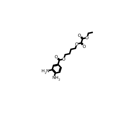 CCOC(=O)C(=O)OCCCCOC(=O)c1ccc(N)c(N)c1